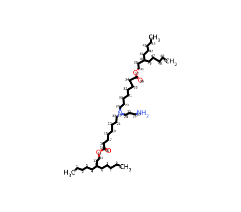 CCCCCC(CCCCC)CCOC(=O)CCCCCCCN(CCCN)CCCCCCCC(=O)OCCC(CCCCC)CCCCC